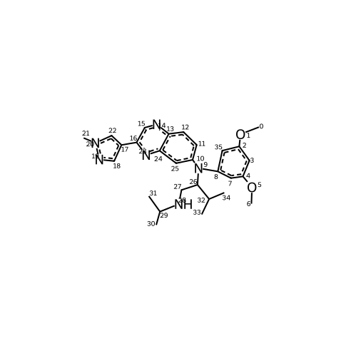 COc1cc(OC)cc(N(c2ccc3ncc(-c4cnn(C)c4)nc3c2)C(CNC(C)C)C(C)C)c1